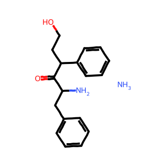 N.NC(Cc1ccccc1)C(=O)C(CCO)c1ccccc1